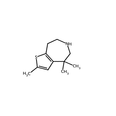 Cc1cc2c(s1)CCNCC2(C)C